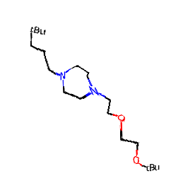 CC(C)(C)CCCN1CCN(CCOCCOC(C)(C)C)CC1